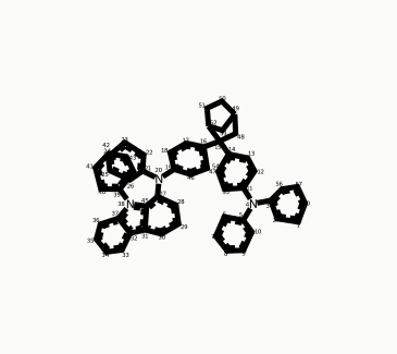 c1ccc(N(c2ccccc2)c2ccc(C3(c4ccc(N(c5ccccc5)c5cccc6c7ccccc7n(-c7ccccc7)c56)cc4)CC4CCC3C4)cc2)cc1